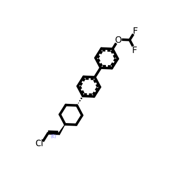 FC(F)Oc1ccc(-c2ccc([C@H]3CC[C@H](/C=C/Cl)CC3)cc2)cc1